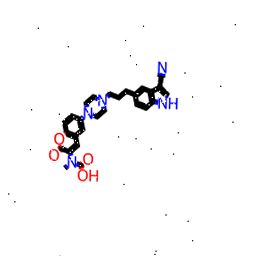 CN(C(=O)O)c1cc2cc(N3CCN(CCCc4ccc5[nH]cc(C#N)c5c4)CC3)ccc2oc1=O